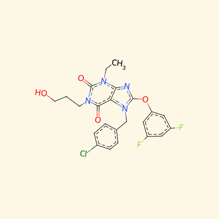 CCn1c(=O)n(CCCO)c(=O)c2c1nc(Oc1cc(F)cc(F)c1)n2Cc1ccc(Cl)cc1